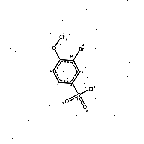 O=S(=O)(Cl)c1ccc(OC(F)(F)F)c(Br)c1